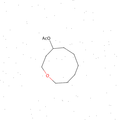 [CH2]C(=O)OC1CCCC[CH]COCC1